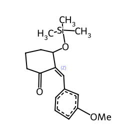 COc1cccc(/C=C2\C(=O)CCCC2O[Si](C)(C)C)c1